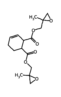 CC1(COC(=O)C2C=CCCC2C(=O)OCC2(C)CO2)CO1